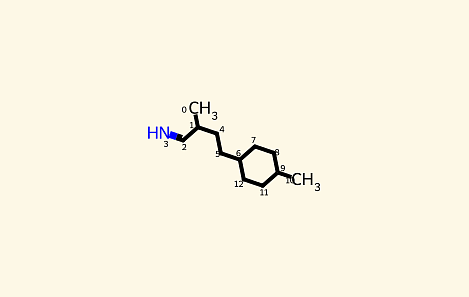 CC(C=N)CCC1CCC(C)CC1